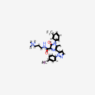 Cc1c(-c2ccnn2-c2ccc(C#N)cc2)nc(C(=O)NCCC[N+](C)(C)C)c(=O)n1-c1cccc(C(F)(F)F)c1.[I-]